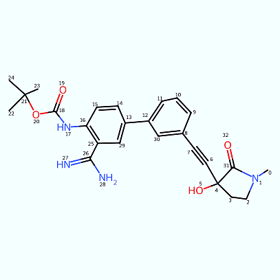 CN1CCC(O)(C#Cc2cccc(-c3ccc(NC(=O)OC(C)(C)C)c(C(=N)N)c3)c2)C1=O